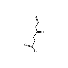 C=CCC(=O)CCC(=O)CC